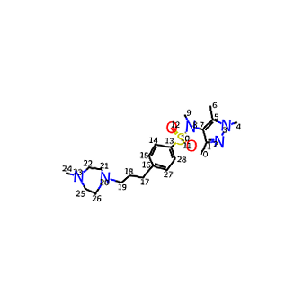 Cc1nn(C)c(C)c1N(C)S(=O)(=O)c1ccc(CCCN2CCN(C)CC2)cc1